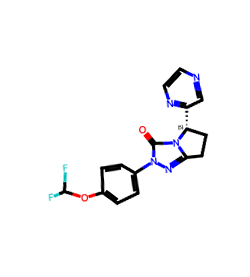 O=c1n(-c2ccc(OC(F)F)cc2)nc2n1[C@H](c1cnccn1)CC2